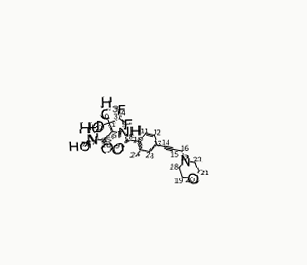 CC(O)(C(F)F)C(NC(=O)c1ccc(C#CCN2CCOCC2)cc1)C(=O)NO